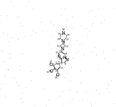 COc1cc(-c2cnn3cc(N4CC(N5CCN(C)CC5)C4)cnc23)cc(OC)c1OC